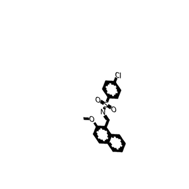 COc1ccc2ccccc2c1/C=N/S(=O)(=O)c1ccc(Cl)cc1